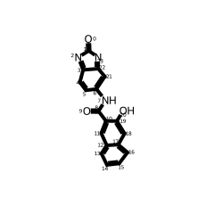 O=C1N=c2ccc(NC(=O)c3cc4ccccc4cc3O)cc2=N1